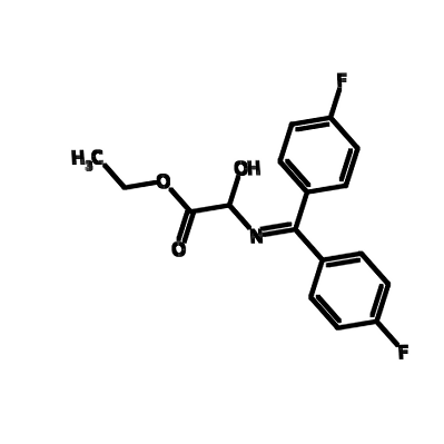 CCOC(=O)C(O)N=C(c1ccc(F)cc1)c1ccc(F)cc1